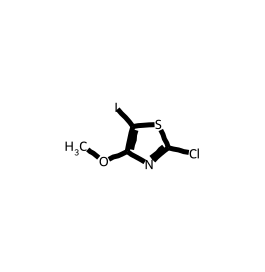 COc1nc(Cl)sc1I